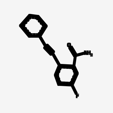 NC(=O)c1cc(F)ccc1C#Cc1ccccc1